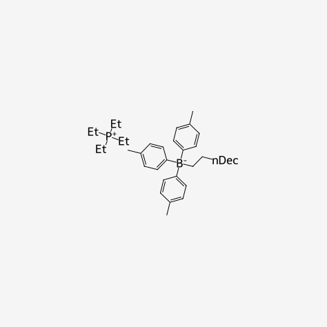 CCCCCCCCCCCC[B-](c1ccc(C)cc1)(c1ccc(C)cc1)c1ccc(C)cc1.CC[P+](CC)(CC)CC